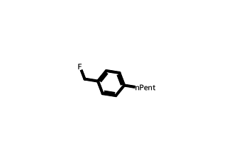 CCCCCc1ccc(CF)cc1